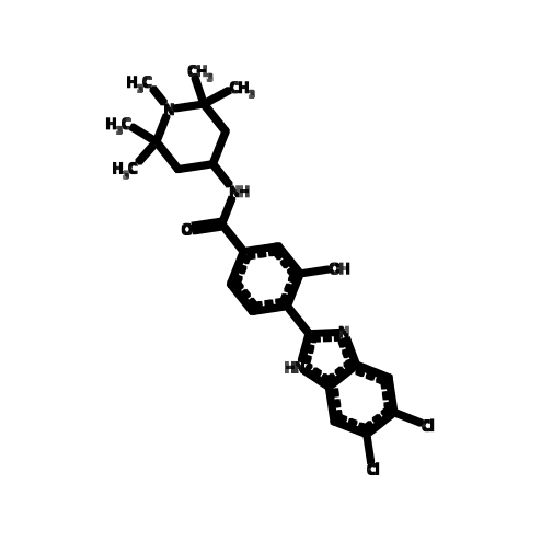 CN1C(C)(C)CC(NC(=O)c2ccc(-c3nc4cc(Cl)c(Cl)cc4[nH]3)c(O)c2)CC1(C)C